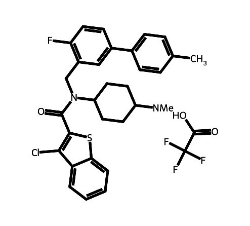 CNC1CCC(N(Cc2cc(-c3ccc(C)cc3)ccc2F)C(=O)c2sc3ccccc3c2Cl)CC1.O=C(O)C(F)(F)F